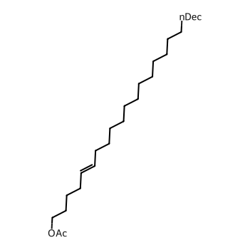 CCCCCCCCCCCCCCCCCCCCCCC=CCCCCOC(C)=O